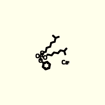 CC(C)CCCCCOP(=O)(OCCCCCC(C)C)Oc1ccccc1.[Ca]